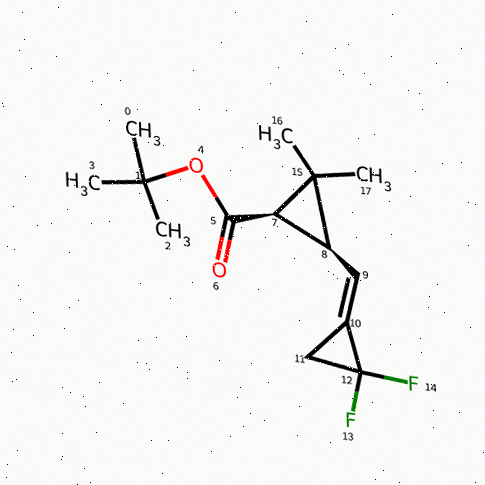 CC(C)(C)OC(=O)[C@@H]1[C@H](/C=C2\CC2(F)F)C1(C)C